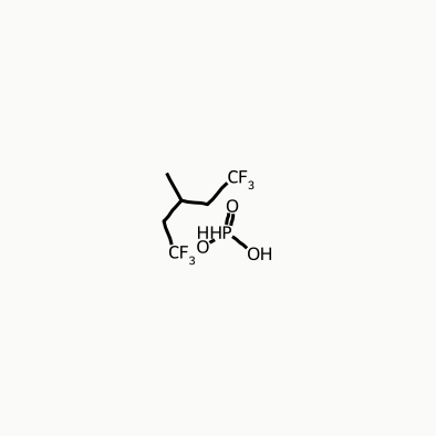 CC(CC(F)(F)F)CC(F)(F)F.O=[PH](O)O